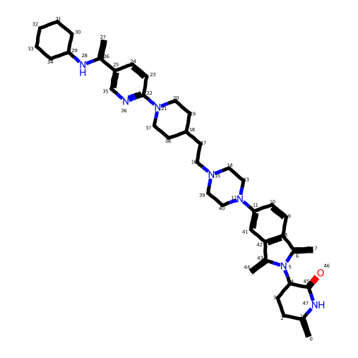 C=C1CCC(n2c(=C)c3ccc(N4CCN(CCC5CCN(c6ccc(C(=C)NC7CCCCC7)cn6)CC5)CC4)cc3c2=C)C(=O)N1